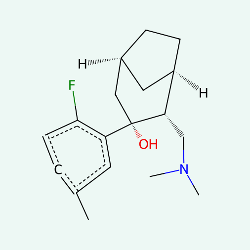 Cc1ccc(F)c([C@@]2(O)C[C@H]3CC[C@H](C3)[C@@H]2CN(C)C)c1